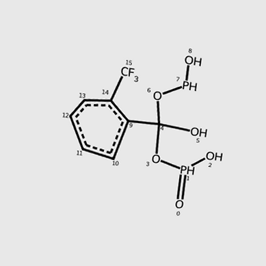 O=[PH](O)OC(O)(OPO)c1ccccc1C(F)(F)F